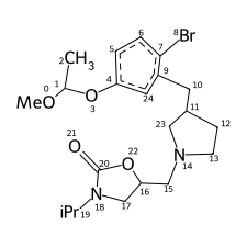 COC(C)Oc1ccc(Br)c(CC2CCN(CC3CN(C(C)C)C(=O)O3)C2)c1